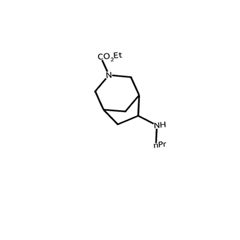 CCCNC1CC2CC1CN(C(=O)OCC)C2